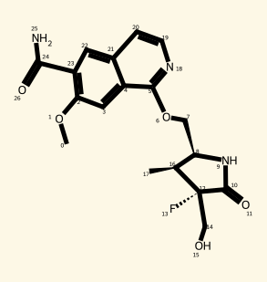 COc1cc2c(OC[C@H]3NC(=O)[C@@](F)(CO)[C@H]3C)nccc2cc1C(N)=O